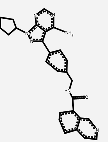 Nc1ncnc2c1c(-c1ccc(CNC(=O)c3cccc4ccncc34)cc1)nn2C1CCCC1